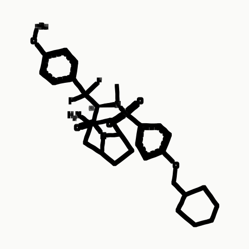 CCCCOc1ccc(C(F)(F)[C@H](C(=O)N2C3CCC2CC(N)C3)N(C)S(=O)(=O)c2ccc(OCC3CCCCC3)cc2)cc1